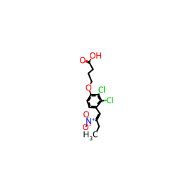 CCC(=Cc1ccc(OCCCC(=O)O)c(Cl)c1Cl)[N+](=O)[O-]